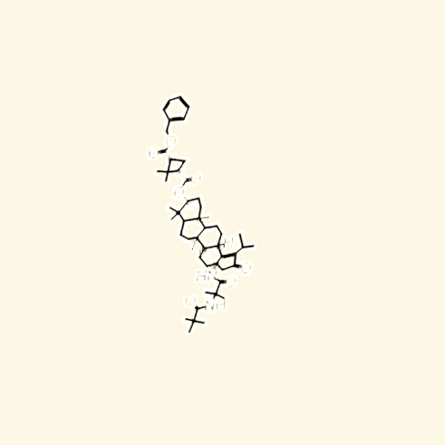 CC(C)C1=C2[C@H]3CCC4[C@@]5(C)CC[C@H](OC(=O)[C@H]6C[C@@H](C(=O)OCc7ccccc7)C6(C)C)C(C)(C)C5CC[C@@]4(C)[C@]3(C)CC[C@@]2(NC(=O)C(C)(C)NC(=O)C(C)(C)C)CC1=O